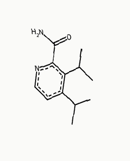 CC(C)c1ccnc(C(N)=O)c1C(C)C